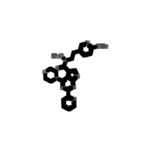 COc1ccc(CCN(OC)C(=O)c2csc3nc(-c4ccccn4)nc(N4CCOCC4)c23)cn1